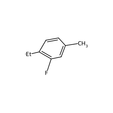 C[CH]c1ccc(C)cc1F